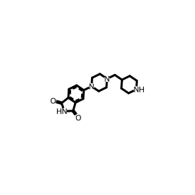 O=C1NC(=O)c2cc(N3CCN(CC4CCNCC4)CC3)ccc21